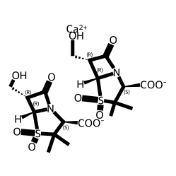 CC1(C)[C@H](C(=O)[O-])N2C(=O)[C@@H](CO)[C@H]2S1(=O)=O.CC1(C)[C@H](C(=O)[O-])N2C(=O)[C@@H](CO)[C@H]2S1(=O)=O.[Ca+2]